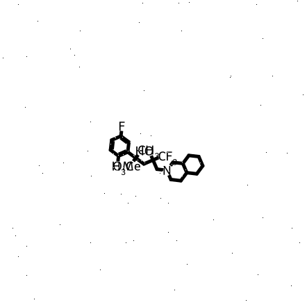 COc1ccc(F)cc1C(C)(C)CC(O)(CN1CCC2CCCCC2C1)C(F)(F)F